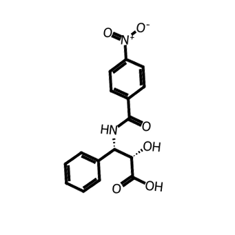 O=C(N[C@@H](c1ccccc1)[C@H](O)C(=O)O)c1ccc([N+](=O)[O-])cc1